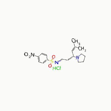 CC(C)=C/C(=C\C=N\S(=O)(=O)c1ccc([N+](=O)[O-])cc1)N1CCCC1.Cl